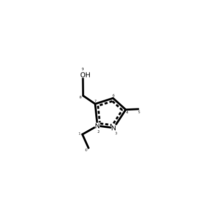 CCn1nc(C)cc1CO